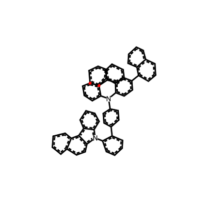 c1ccc(-c2ccccc2N(c2ccc(-c3ccccc3-n3c4ccccc4c4c5ccccc5ccc43)cc2)c2ccc(-c3cccc4ccccc34)cc2-c2ccccc2)cc1